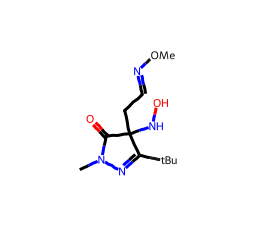 CON=CCC1(NO)C(=O)N(C)N=C1C(C)(C)C